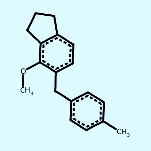 COc1c(Cc2ccc(C)cc2)ccc2c1CCC2